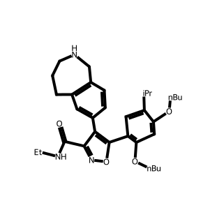 CCCCOc1cc(OCCCC)c(C(C)C)cc1-c1onc(C(=O)NCC)c1-c1ccc2c(c1)CCCNC2